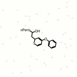 CCCCCC(O)CC1C=C(Oc2ccccc2)C=CS1